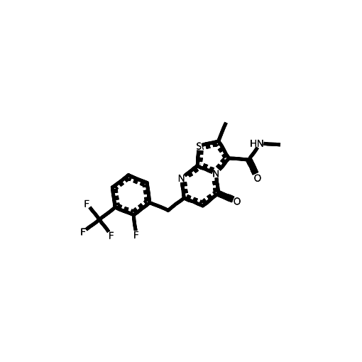 CNC(=O)c1c(C)sc2nc(Cc3cccc(C(F)(F)F)c3F)cc(=O)n12